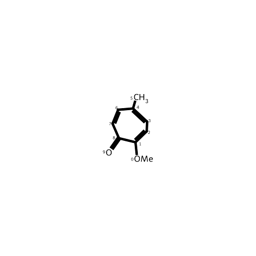 COc1ccc(C)ccc1=O